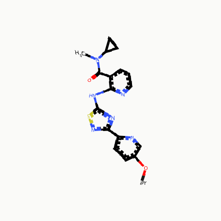 CC(C)Oc1ccc(-c2nsc(Nc3ncccc3C(=O)N(C)C3CC3)n2)nc1